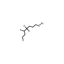 CC(=O)SCCCC(F)(F)C(F)CCF